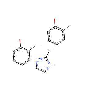 Cc1ncc[nH]1.O=C([O-])c1ccccc1O.O=C([O-])c1ccccc1O.[Zn+2]